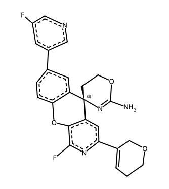 NC1=N[C@@]2(CCO1)c1cc(-c3cncc(F)c3)ccc1Oc1c2cc(C2=CCCOC2)nc1F